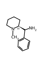 CN1CCCC[C@H]1C(N)c1ccccc1